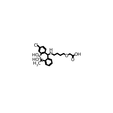 CN1c2ccccc2C(NCCCCOCC(=O)O)c2ccc(Cl)cc2S1(O)O